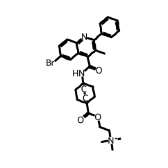 Cc1c(-c2ccccc2)nc2ccc(Br)cc2c1C(=O)NC12CCC(C(=O)OCC[N+](C)(C)C)(CC1)CC2